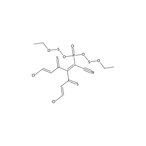 CCOSOP(=O)(OSOCC)C(C#N)=C(C(=S)C=CCl)C(=S)C=CCl